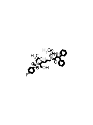 COC(=O)NC(C(=O)NCCCCC(CO)N(CC(C)C)S(=O)(=O)c1ccc(F)cc1)C(c1ccccc1)c1ccccc1